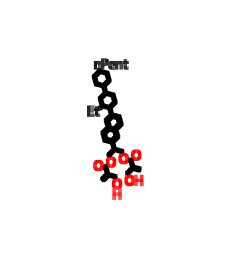 C=C(CO)C(=O)OCC(COC(=O)C(=C)CO)c1ccc2cc(C3CCC(C4CCC(CCCCC)CC4)CC3CC)ccc2c1